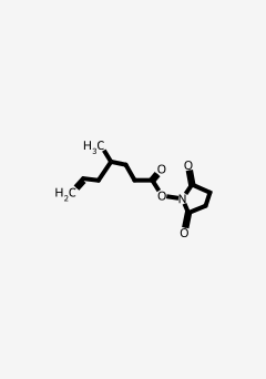 C=CCC(C)CCC(=O)ON1C(=O)CCC1=O